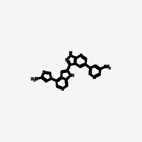 Cc1cn(-c2cncc3[nH]c(-c4n[nH]c5ncc(-c6cncc(N)c6)cc45)cc23)cn1